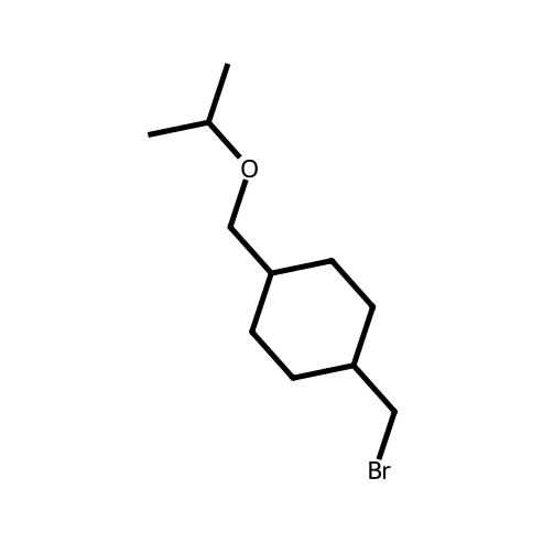 CC(C)OCC1CCC(CBr)CC1